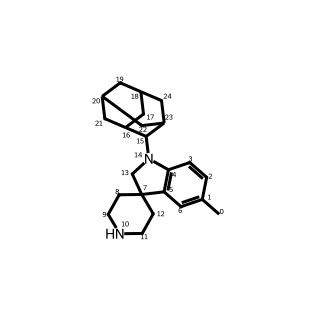 Cc1ccc2c(c1)C1(CCNCC1)CN2C1C2CC3CC(C2)CC1C3